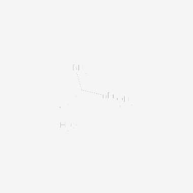 BC(Cl)CCC.O.O